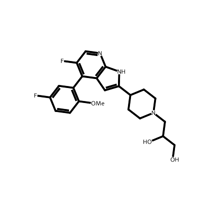 COc1ccc(F)cc1-c1c(F)cnc2[nH]c(C3CCN(CC(O)CO)CC3)cc12